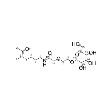 CC(=O)C(C)CCCCNC(=O)COCCOC1OC(CO)C(O)C(O)C1O